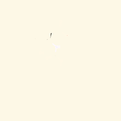 CC(C)(C)C(O)[C@@H](CC(=O)O)NC(=O)OCC1c2ccccc2-c2ccccc21